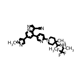 CC(N[C@H](C)C(F)(F)F)C1(C)CCN(c2ccc(-c3cc(-c4cnn(C)c4)cn4ncc(C#N)c34)cn2)CC1